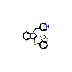 O=[N+]([O-])c1ccccc1Sc1cn(Cc2ccncc2)c2ccccc12